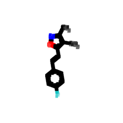 Cc1noc(/C=C/c2ccc(F)cc2)c1[N+](=O)[O-]